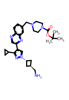 CC(C)(C)OC(=O)N1CCN(Cc2ccc3ncc(-c4cn([C@H]5C[C@H](CN)C5)nc4C4CC4)nc3c2)CC1